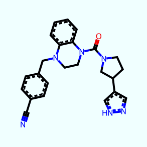 N#Cc1ccc(CN2CCN(C(=O)N3CCC(c4cn[nH]c4)C3)c3ccccc32)cc1